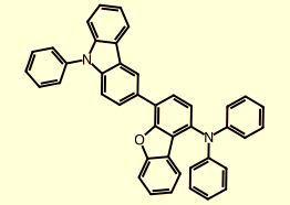 c1ccc(N(c2ccccc2)c2ccc(-c3ccc4c(c3)c3ccccc3n4-c3ccccc3)c3oc4ccccc4c23)cc1